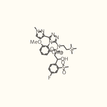 COc1cccc(OC)c1-n1c(-c2ccn(C)n2)nnc1N(CC[Si](C)(C)C)S(=O)(=O)CC(O)c1ccc(F)cc1S(C)(=O)=O